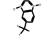 [O-][n+]1cc[n+]([O-])c2cc(C(F)(F)F)ccc21